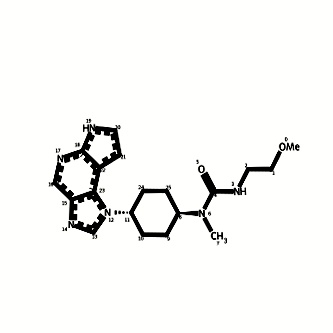 COCCNC(=O)N(C)[C@H]1CC[C@H](n2cnc3cnc4[nH]ccc4c32)CC1